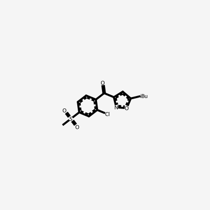 CCC(C)c1cc(C(=O)c2ccc(S(C)(=O)=O)cc2Cl)no1